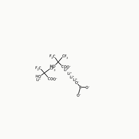 O=C([O-])C(O)(C(F)(F)F)C(F)(F)F.O=C([O-])C(O)(C(F)(F)F)C(F)(F)F.[Li+].[Li+].[Li+].[Li+].[Li+].[O-]B([O-])[O-]